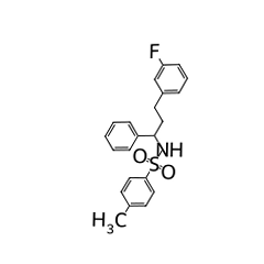 Cc1ccc(S(=O)(=O)NC(CCc2cccc(F)c2)c2ccccc2)cc1